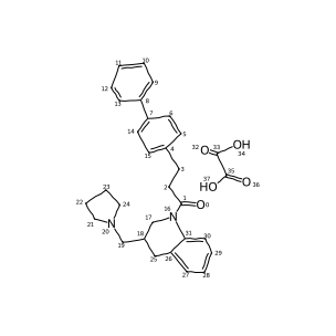 O=C(CCc1ccc(-c2ccccc2)cc1)N1CC(CN2CCCC2)Cc2ccccc21.O=C(O)C(=O)O